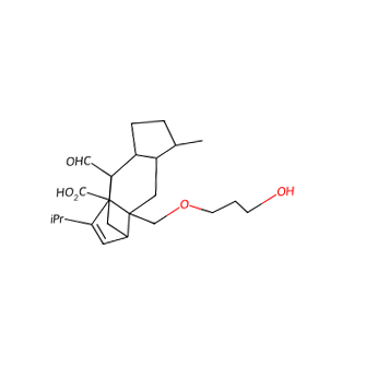 CC(C)C1=CC2CC3(C=O)C4CCC(C)C4CC2(COCCCO)C13C(=O)O